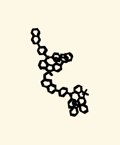 C[Si]1(C)c2cccc(N(c3ccc(-c4ccc5ccc(C[Si]6(C)c7cccc(N(c8ccc(-c9ccccc9)cc8)c8ccc(-c9ccc%10ccccc%10c9)cc8)c7-c7c6ccc6c7oc7ccccc76)cc5c4)cc3)c3cccc(-c4ccccc4)c3)c2-c2c1ccc1c2oc2ccccc21